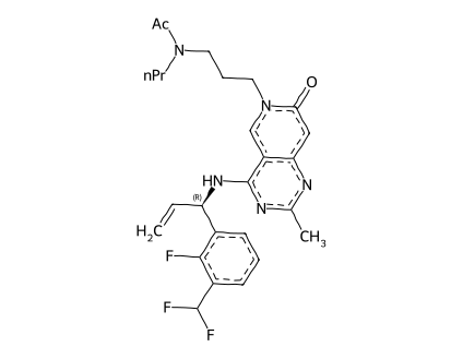 C=C[C@@H](Nc1nc(C)nc2cc(=O)n(CCCN(CCC)C(C)=O)cc12)c1cccc(C(F)F)c1F